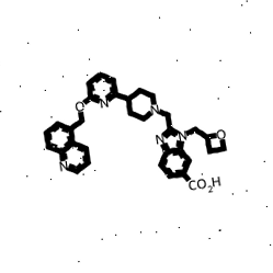 O=C(O)c1ccc2nc(CN3CCC(c4cccc(OCc5cccc6ncccc56)n4)CC3)n(CC3CCO3)c2c1